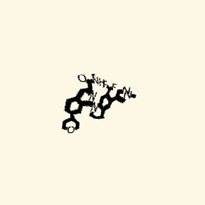 CNC(=O)c1cc2ccc(C3CCOCC3)cc2c(N2CCCc3cc(-c4cnn(C)c4)c(C(F)F)cc32)n1